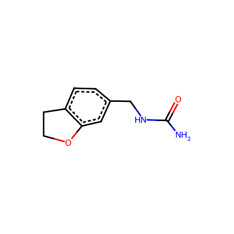 NC(=O)NCc1ccc2c(c1)OCC2